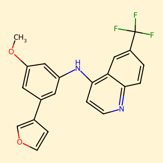 COc1cc(Nc2ccnc3ccc(C(F)(F)F)cc23)cc(-c2ccoc2)c1